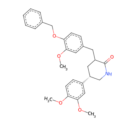 COc1ccc([C@H]2CNC(=O)C(Cc3ccc(OCc4ccccc4)c(OC)c3)C2)cc1OC